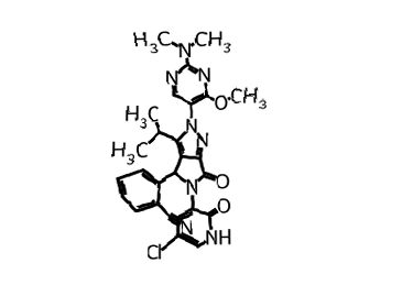 COc1nc(N(C)C)ncc1-n1nc2c(c1C(C)C)C(c1ccccc1C#N)N(c1cc(Cl)c[nH]c1=O)C2=O